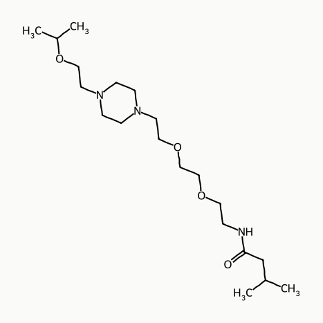 CC(C)CC(=O)NCCOCCOCCN1CCN(CCOC(C)C)CC1